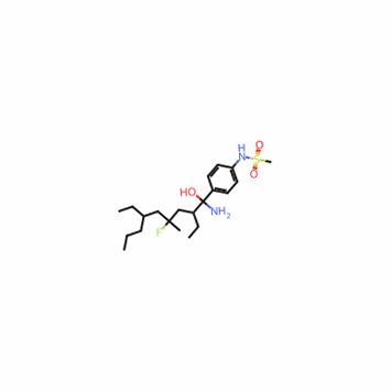 CCCC(CC)CC(C)(F)CC(CC)C(N)(O)c1ccc(NS(C)(=O)=O)cc1